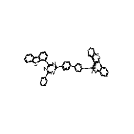 c1ccc(-c2nc(-c3ccc(-c4ccc(-c5nc6ccccc6c6sc7ccccc7c56)cc4)cc3)nc(-c3cccc4c3sc3ccccc34)n2)cc1